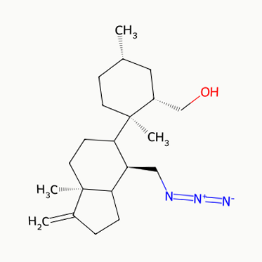 C=C1CCC2[C@H](CN=[N+]=[N-])C([C@@]3(C)CC[C@H](C)C[C@@H]3CO)CC[C@]12C